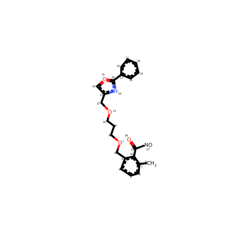 Cc1cccc(COCCCOCc2coc(-c3ccccc3)n2)c1C(=O)N=O